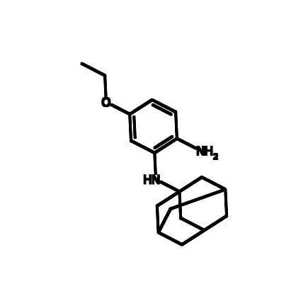 CCOc1ccc(N)c(NC23CC4CC(CC(C4)C2)C3)c1